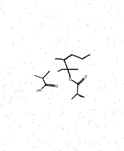 CC(C)C(=O)O.CCCC(C)C(C)(C)OC(=O)C(C)C